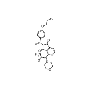 NC(=O)N(c1cccc2c1C(=O)C(C(=O)c1ccc(OCCCl)cc1)C2=O)N1CCOCC1